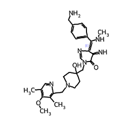 CN/C(=C1/N=CN(CC2(O)CCN(Cc3ncc(C)c(OC)c3C)CC2)C(=O)C1=N)c1ccc(CN)cc1